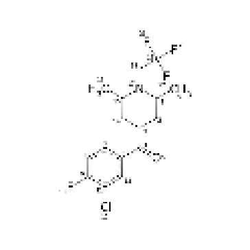 CC1CC(C(=O)c2ccc(F)c(Cl)c2)CC(C)N1CC(F)(F)F